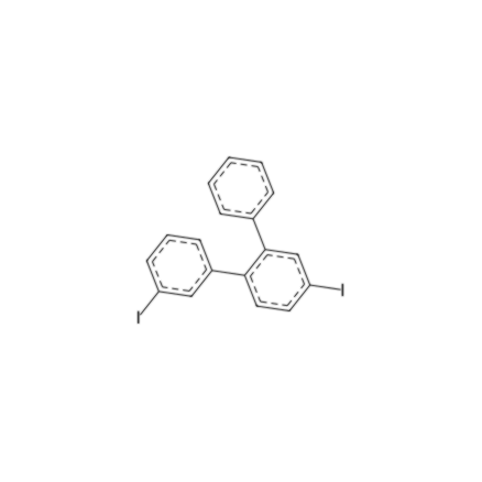 Ic1cccc(-c2ccc(I)cc2-c2ccccc2)c1